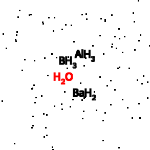 B.O.[AlH3].[BaH2]